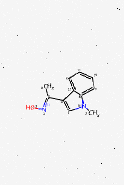 C/C(=N\O)c1cn(C)c2ccccc12